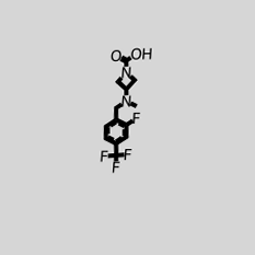 CN(Cc1ccc(C(F)(F)F)cc1F)C1CN(C(=O)O)C1